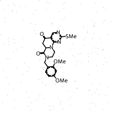 COc1ccc(CN2CCN3c4nc(SC)ncc4C(=O)CC3C2=O)c(OC)c1